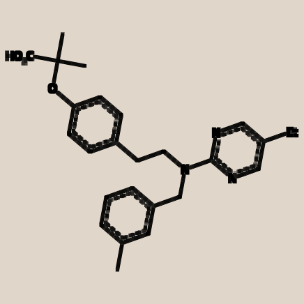 CCc1cnc(N(CCc2ccc(OC(C)(C)C(=O)O)cc2)Cc2cccc(C)c2)nc1